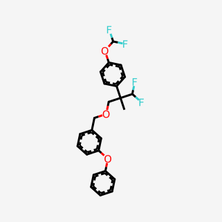 CC(COCc1cccc(Oc2ccccc2)c1)(c1ccc(OC(F)F)cc1)C(F)F